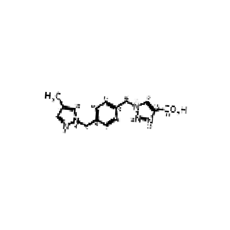 Cc1cnn(Cc2ccc(Cn3cc(C(=O)O)nn3)cc2)c1